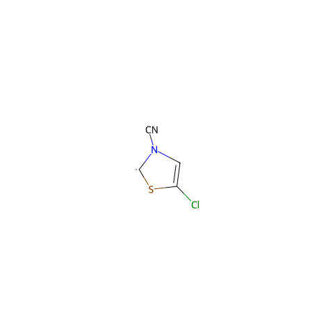 N#CN1[CH]SC(Cl)=C1